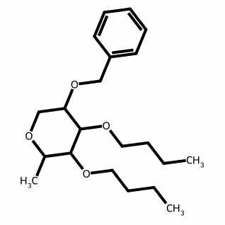 CCCCOC1C(C)OCC(OCc2ccccc2)C1OCCCC